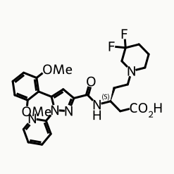 COc1cccc(OC)c1-c1cc(C(=O)N[C@@H](CCN2CCCC(F)(F)C2)CC(=O)O)nn1-c1ccccn1